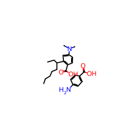 CCCCCC(CC)c1cc(N(C)C)ccc1C(=O)O.Nc1ccc(C(=O)O)cc1